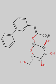 O=C(O)C(=Cc1cccc(-c2ccccc2)c1)O[C@H]1O[C@@H](CO)[C@@H](O)[C@@H](O)[C@@H]1O